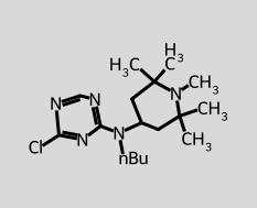 CCCCN(c1ncnc(Cl)n1)C1CC(C)(C)N(C)C(C)(C)C1